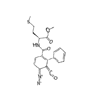 COC(=O)[C@H](CCSC)NC(=O)C1=C(c2ccccc2)C(=C=O)C(=[N+]=[N-])C=C1